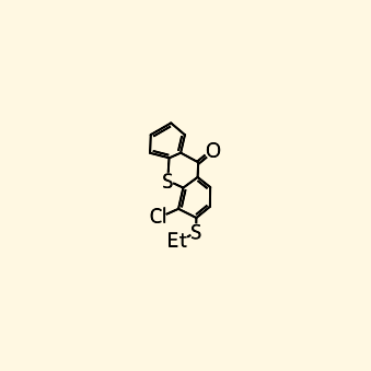 CCSc1ccc2c(=O)c3ccccc3sc2c1Cl